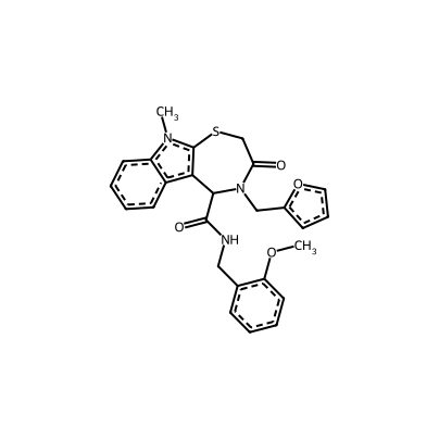 COc1ccccc1CNC(=O)C1c2c(n(C)c3ccccc23)SCC(=O)N1Cc1ccco1